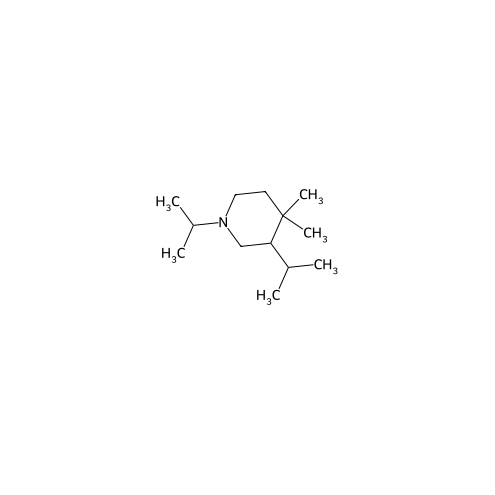 CC(C)C1CN(C(C)C)CCC1(C)C